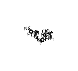 Cc1nn(-c2cc(OC3CN(C(=O)N4N=CCC4c4cc(F)cc(C#N)c4)C3)c(F)cn2)c(C)c1C(=O)NC1CC1